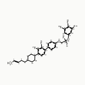 C/C=C/CCC1CCC(c2ccc(-c3ccc(OCC(F)(F)Oc4cc(F)c(F)c(F)c4)cc3)c(F)c2F)CC1